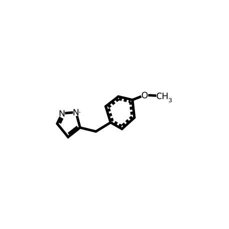 COc1ccc(CC2=CC=N[N]2)cc1